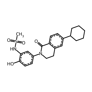 CS(=O)(=O)Nc1cc(N2CCc3cc(C4CCCCC4)ccc3C2=O)ccc1O